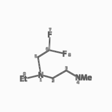 CCN(CCNC)CC(F)F